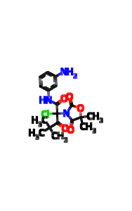 CC(C)(C)C(=O)C(Cl)(C(=O)Nc1cccc(N)c1)N1C(=O)OC(C)(C)C1=O